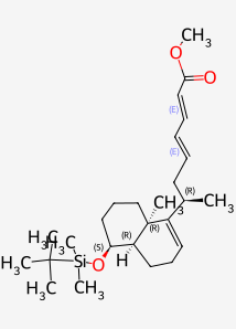 COC(=O)/C=C/C=C/C[C@@H](C)C1=CCC[C@H]2[C@@H](O[Si](C)(C)C(C)(C)C)CCC[C@@]12C